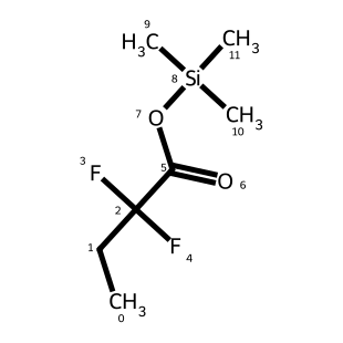 CCC(F)(F)C(=O)O[Si](C)(C)C